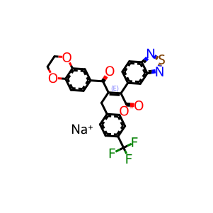 O=C([O-])/C(=C(\Cc1ccc(C(F)(F)F)cc1)C(=O)c1ccc2c(c1)OCCO2)c1ccc2nsnc2c1.[Na+]